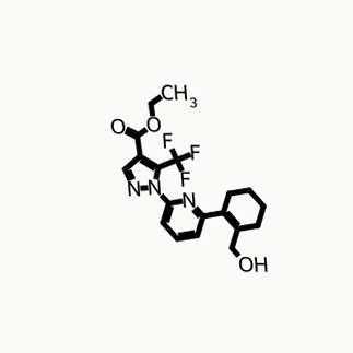 CCOC(=O)c1cnn(-c2cccc(C3=C(CO)CCCC3)n2)c1C(F)(F)F